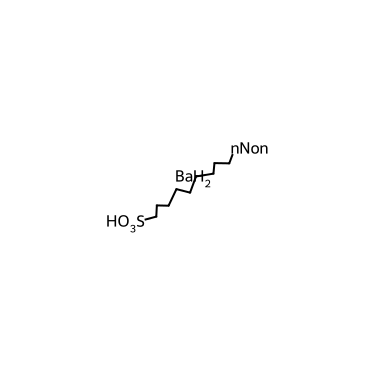 CCCCCCCCCCCCCCCCCCS(=O)(=O)O.[BaH2]